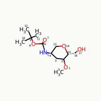 COC1C[C@@H](NC(=O)OC(C)(C)C)CO[C@@H]1CO